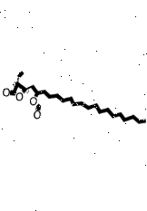 CCCCCCCCCCCCCCCCCC(C[C@H]1OC(=O)[C@@H]1CC)OC=O